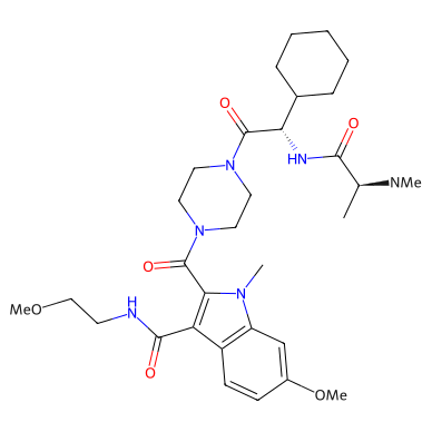 CN[C@@H](C)C(=O)N[C@H](C(=O)N1CCN(C(=O)c2c(C(=O)NCCOC)c3ccc(OC)cc3n2C)CC1)C1CCCCC1